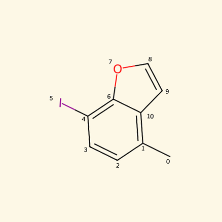 Cc1ccc(I)c2occc12